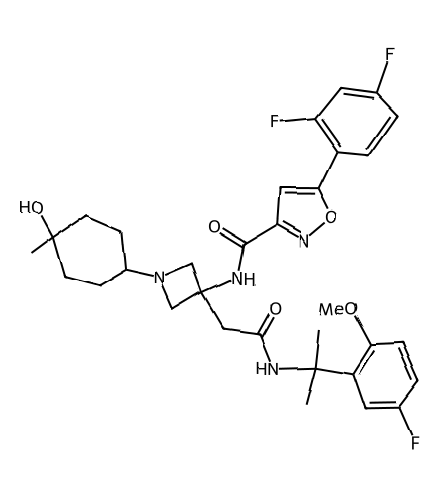 COc1ccc(F)cc1C(C)(C)NC(=O)CC1(NC(=O)c2cc(-c3ccc(F)cc3F)on2)CN(C2CCC(C)(O)CC2)C1